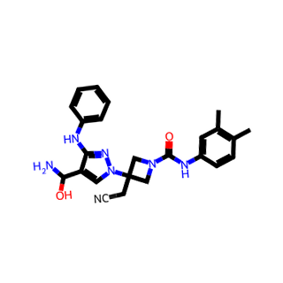 Cc1ccc(NC(=O)N2CC(CC#N)(n3cc(C(N)O)c(Nc4ccccc4)n3)C2)cc1C